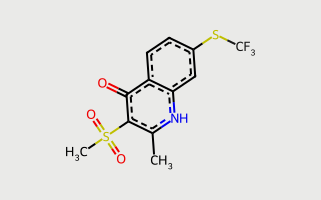 Cc1[nH]c2cc(SC(F)(F)F)ccc2c(=O)c1S(C)(=O)=O